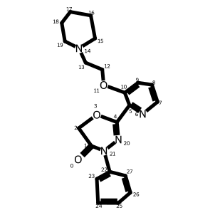 O=C1COC(c2ncccc2OCCN2CCCCC2)=NN1c1ccccc1